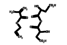 C=CCOC(=O)C(=C)C.O=C(O)CC(O)C(=O)OC(=O)C(O)CC(=O)O